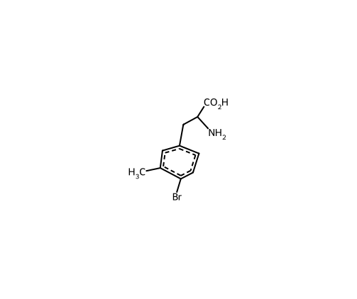 Cc1cc(CC(N)C(=O)O)ccc1Br